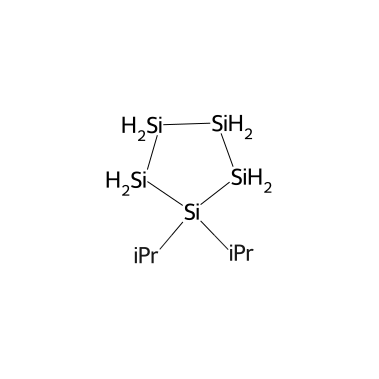 CC(C)[Si]1(C(C)C)[SiH2][SiH2][SiH2][SiH2]1